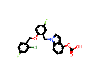 O=C(O)Oc1cccc2c1ccn2Cc1cc(F)ccc1OCc1ccc(F)cc1Cl